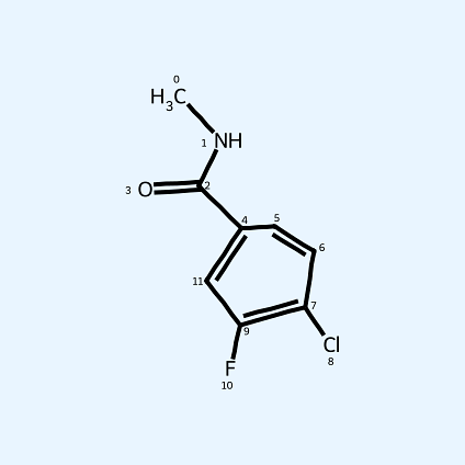 CNC(=O)c1ccc(Cl)c(F)c1